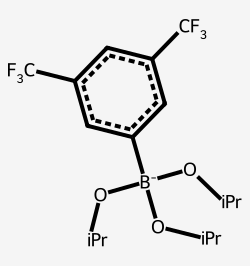 CC(C)O[B-](OC(C)C)(OC(C)C)c1cc(C(F)(F)F)cc(C(F)(F)F)c1